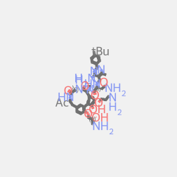 CC(=O)C1Cc2ccc(OC[C@H](O)CN)c(c2)-c2cc(cc(OCCCN)c2O)C(N(C)C(=O)[C@H](CCN)NC(=O)c2c(C)nc(-c3ccc(C(C)(C)C)cc3)nc2N)C(=O)N[C@@H](C)C(=O)N1